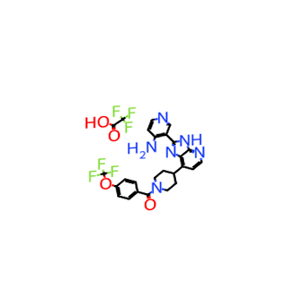 Nc1ccncc1-c1nc2c(C3CCN(C(=O)c4ccc(OC(F)(F)F)cc4)CC3)ccnc2[nH]1.O=C(O)C(F)(F)F